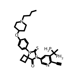 C#Cc1ncc(N2C(=O)C3(CCC3)N(c3ccc(OC4CCN(CCCC)CC4)cc3)C2=S)cc1C(C)(P)P